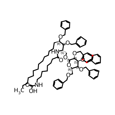 CCCCCCCCCCCCCC[C@@H](OCc1ccccc1)[C@@H](OCc1ccccc1)[C@H](CO[C@H]1O[C@H](COCc2ccccc2)[C@H](OCc2ccccc2)[C@H](OCc2ccccc2)[C@H]1OCc1ccccc1)NC(=O)CCCCCCCNC(=O)O